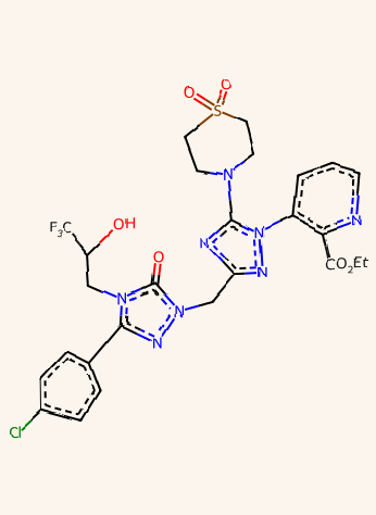 CCOC(=O)c1ncccc1-n1nc(Cn2nc(-c3ccc(Cl)cc3)n(CC(O)C(F)(F)F)c2=O)nc1N1CCS(=O)(=O)CC1